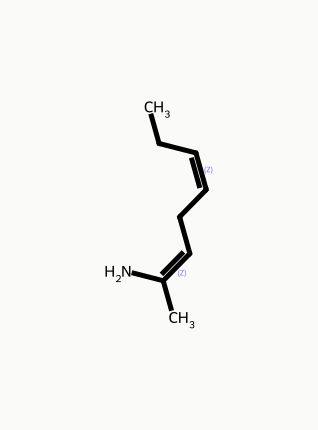 CC/C=C\C/C=C(/C)N